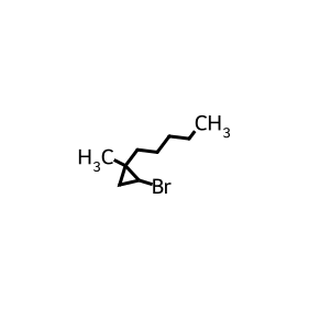 CCCCCC1(C)CC1Br